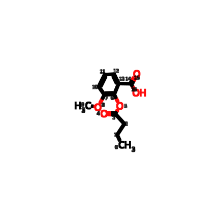 CCCC(=O)Oc1c(OC)cccc1C(=O)O